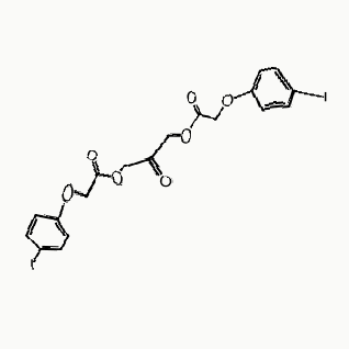 O=C(COC(=O)COc1ccc(I)cc1)COC(=O)COc1ccc(I)cc1